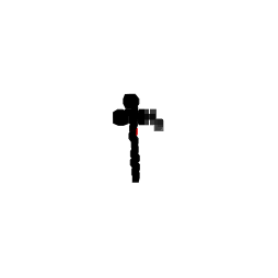 CCCCCCCCCCCCCCCC(N)(Cc1ccccc1)Cc1ccccc1